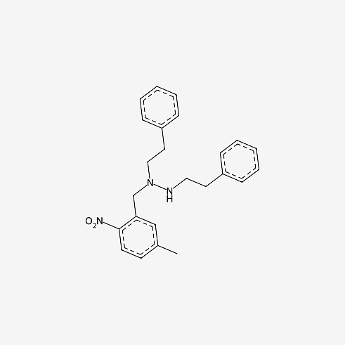 Cc1ccc([N+](=O)[O-])c(CN(CCc2ccccc2)NCCc2ccccc2)c1